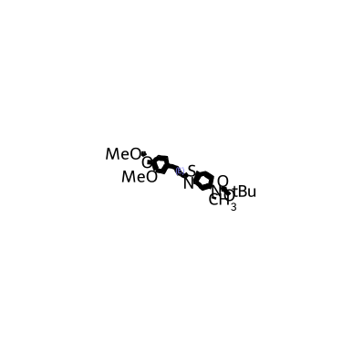 COCOc1ccc(/C=C/c2nc3cc(N(C)C(=O)OC(C)(C)C)ccc3s2)cc1OC